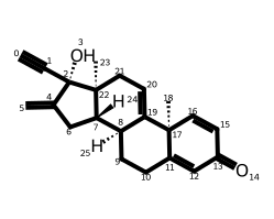 C#C[C@]1(O)C(=C)C[C@H]2[C@@H]3CCC4=CC(=O)C=C[C@]4(C)C3=CC[C@@]21C